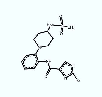 CS(=O)(=O)NC1CCN(c2ccccc2NC(=O)c2csc(Br)n2)CC1